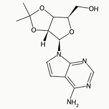 CC1(C)OC2[C@@H](O1)[C@H](n1ccc3c(N)ncnc31)O[C@@H]2CO